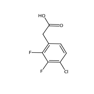 O=C(O)Cc1ccc(Cl)c(F)c1F